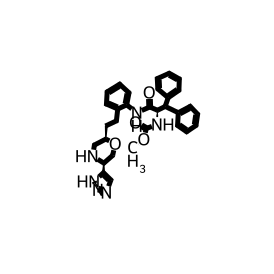 COC(=O)N[C@H](C(=O)Nc1ccccc1CC[C@@H]1CN[C@H](c2cnn[nH]2)CO1)C(c1ccccc1)c1ccccc1